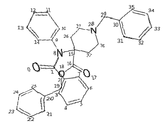 O=C(c1ccccc1)N(c1ccccc1)C1(C(=O)OCc2ccccc2)CCN(Cc2ccccc2)CC1